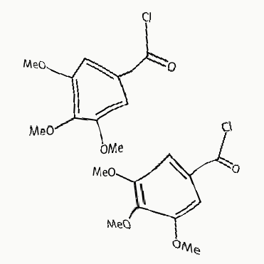 COc1cc(C(=O)Cl)cc(OC)c1OC.COc1cc(C(=O)Cl)cc(OC)c1OC